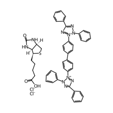 O=C(O)CCCC[C@@H]1SC[C@@H]2NC(=O)N[C@@H]21.[Cl-].[Cl-].c1ccc(-c2nn(-c3ccccc3)[n+](-c3ccc(-c4ccc(-[n+]5nc(-c6ccccc6)nn5-c5ccccc5)cc4)cc3)n2)cc1